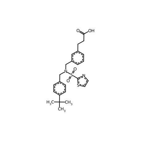 CC(C)(C)c1ccc(CN(Cc2cccc(CCC(=O)O)c2)S(=O)(=O)c2nccs2)cc1